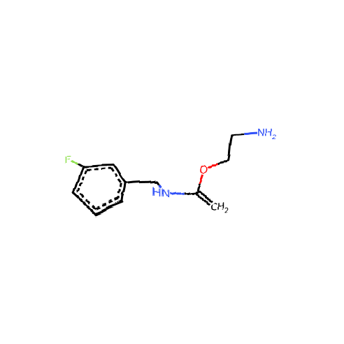 C=C(NCc1cccc(F)c1)OCCN